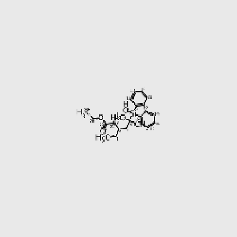 C=C[C@H](CC(C)(C)[Si](O)(c1ccccc1)c1ccccc1)[C@H](I)C(=O)OCC